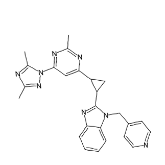 Cc1nc(C2CC2c2nc3ccccc3n2Cc2ccncc2)cc(-n2nc(C)nc2C)n1